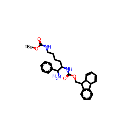 CC(C)(C)OC(=O)NCCCCC(NC(=O)OCC1c2ccccc2C2C=CC=CC21)C(N)c1ccccc1